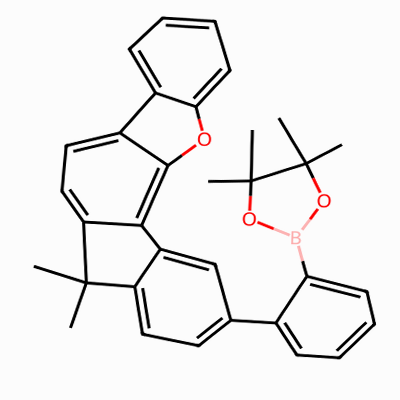 CC1(C)c2ccc(-c3ccccc3B3OC(C)(C)C(C)(C)O3)cc2-c2c1ccc1c2oc2ccccc21